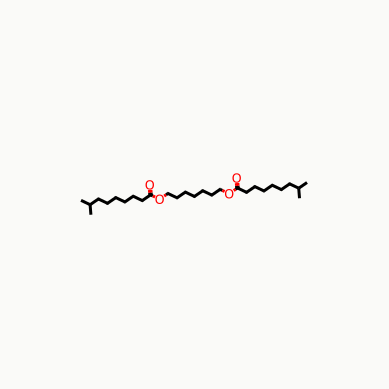 CC(C)CCCCCCC(=O)OCCCCCCCOC(=O)CCCCCCC(C)C